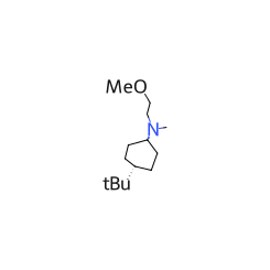 COCCN(C)[C@H]1CC[C@H](C(C)(C)C)CC1